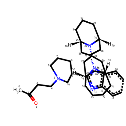 CC(=O)CCN1CCC[C@H](c2nc3ccccc3n2[C@H]2C[C@H]3CCC[C@@H](C2)N3[C@@H]2C[C@@H]3CCCC[C@@H](C3)C2)C1